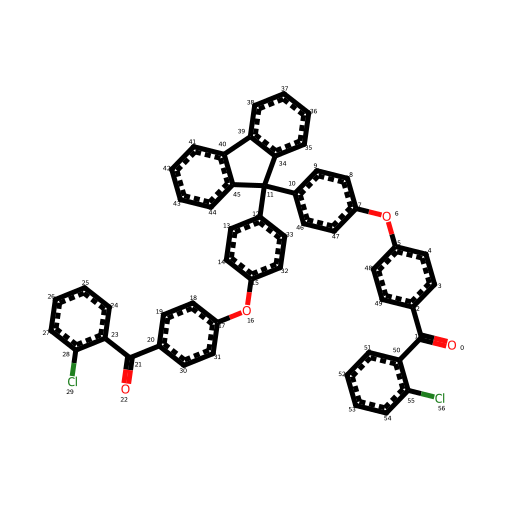 O=C(c1ccc(Oc2ccc(C3(c4ccc(Oc5ccc(C(=O)c6ccccc6Cl)cc5)cc4)c4ccccc4-c4ccccc43)cc2)cc1)c1ccccc1Cl